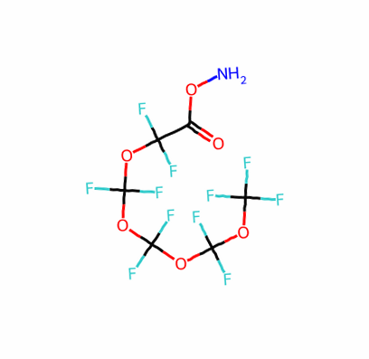 NOC(=O)C(F)(F)OC(F)(F)OC(F)(F)OC(F)(F)OC(F)(F)F